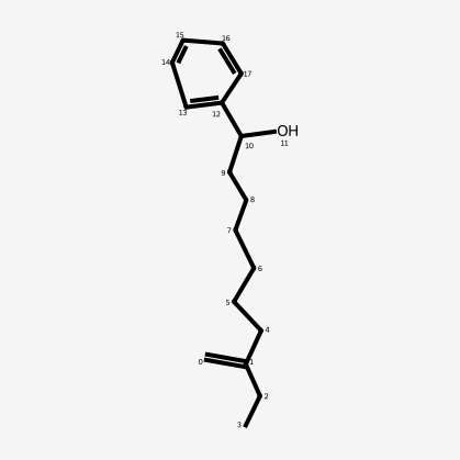 C=C(CC)CCCCCCC(O)c1ccccc1